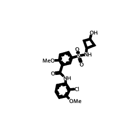 COc1ccc(S(=O)(=O)NC2CC(O)C2)cc1C(=O)Nc1cccc(OC)c1Cl